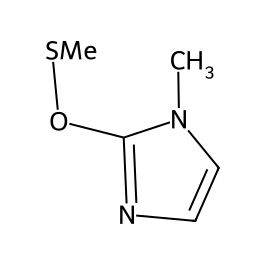 CSOc1nccn1C